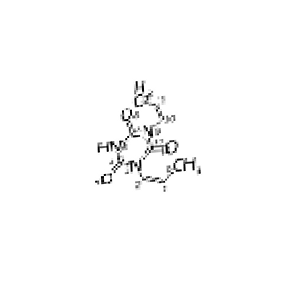 C/C=C\n1c(=O)[nH]c(=O)n(/C=C\C)c1=O